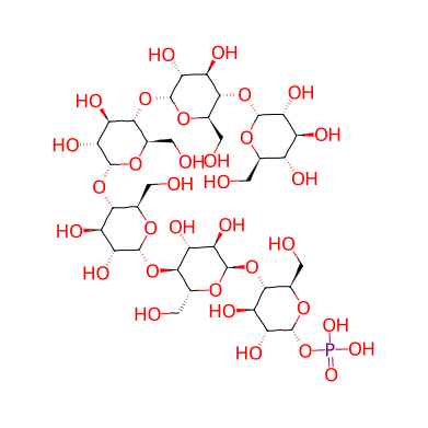 O=P(O)(O)O[C@H]1O[C@H](CO)[C@@H](O[C@H]2O[C@H](CO)[C@@H](O[C@H]3O[C@H](CO)[C@@H](O[C@H]4O[C@H](CO)[C@@H](O[C@H]5O[C@H](CO)[C@@H](O[C@H]6O[C@H](CO)[C@@H](O)[C@H](O)[C@H]6O)[C@H](O)[C@H]5O)[C@H](O)[C@H]4O)[C@H](O)[C@H]3O)[C@H](O)[C@H]2O)[C@H](O)[C@H]1O